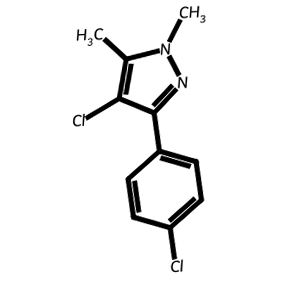 Cc1c(Cl)c(-c2ccc(Cl)cc2)nn1C